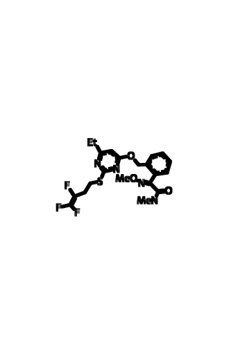 CCc1cc(OCc2ccccc2/C(=N\OC)C(=O)NC)nc(SCCC(F)=C(F)F)n1